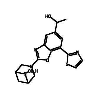 CC(O)c1cc(-c2nccs2)c2oc(N3CC4CC(C3)N4C(=O)O)nc2c1